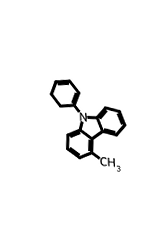 Cc1cccc2c1c1ccccc1n2C1=CC=CCC1